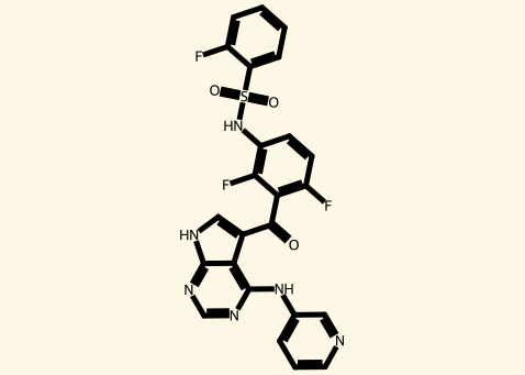 O=C(c1c(F)ccc(NS(=O)(=O)c2ccccc2F)c1F)c1c[nH]c2ncnc(Nc3cccnc3)c12